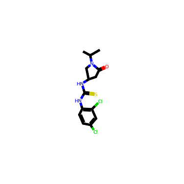 CC(C)N1CC(NC(=S)Nc2ccc(Cl)cc2Cl)CC1=O